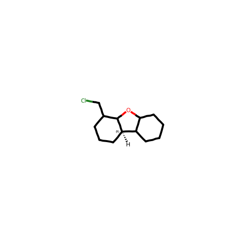 ClCC1CCC[C@@H]2C3CCCCC3OC12